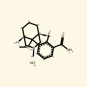 COC1(c2cccc(C(N)=O)c2F)[C@@H]2CCC[C@H]1CN(C)C2.Cl